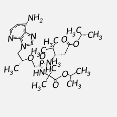 CC(C)OC(=O)C[C@H](N[P@@](=O)(CO[C@H](C)Cn1cnc2c(N)ccnc21)NC(C)(C)C(=O)OC(C)C)C(C)C